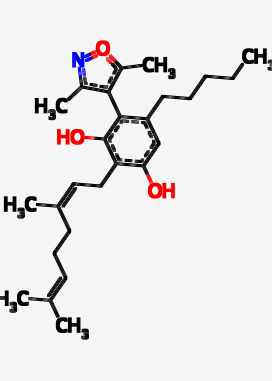 CCCCCc1cc(O)c(CC=C(C)CCC=C(C)C)c(O)c1-c1c(C)noc1C